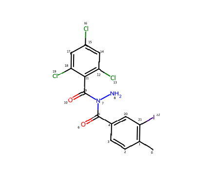 Cc1ccc(C(=O)N(N)C(=O)c2c(Cl)cc(Cl)cc2Cl)cc1I